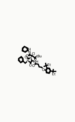 CCC(C)(C)c1ccc(OCCCC(=O)NC2C(=O)N(Cc3ccccc3)C(=O)N2C(Cl)(C(=O)Nc2ccccc2)C(=O)C(C)(C)C)c(C(C)(C)CC)c1